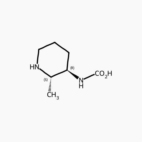 C[C@@H]1NCCC[C@H]1NC(=O)O